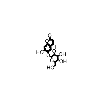 O=c1ccc2cc(O[C@@H]3OC(CO)[C@@H](O)C(O)C3O)c(O)cc2o1